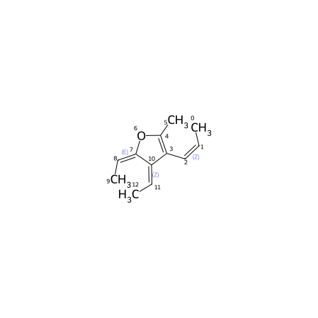 C/C=C\c1c(C)oc(=C/C)/c1=C\C